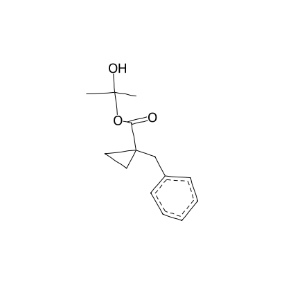 CC(C)(O)OC(=O)C1(Cc2ccccc2)CC1